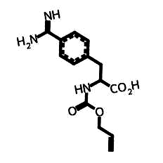 C=CCOC(=O)NC(Cc1ccc(C(=N)N)cc1)C(=O)O